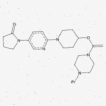 C=C(OC1CCN(c2ccc(N3CCCC3=O)cn2)CC1)N1CCN(C(C)C)CC1